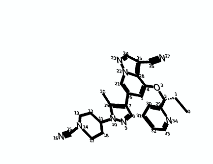 CC[C@@H](Oc1cc(-c2cnn(C3CCN(C#N)CC3)c2C)cn2ncc(C#N)c12)c1ccccn1